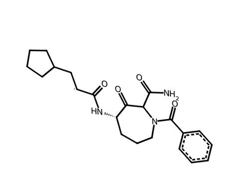 NC(=O)C1C(=O)[C@@H](NC(=O)[CH]CC2CCCC2)CCCN1C(=O)c1ccccc1